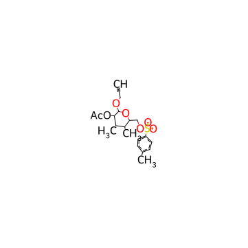 C#CCOC1OC(COS(=O)(=O)c2ccc(C)cc2)C(C)C(C)C1OC(C)=O